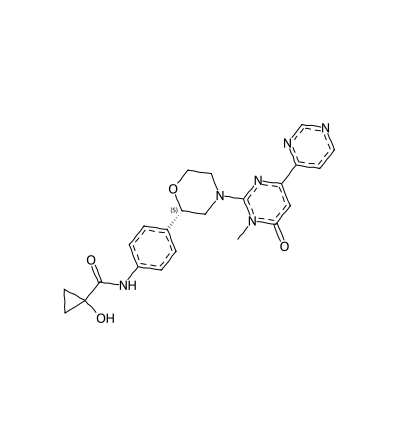 Cn1c(N2CCO[C@@H](c3ccc(NC(=O)C4(O)CC4)cc3)C2)nc(-c2ccncn2)cc1=O